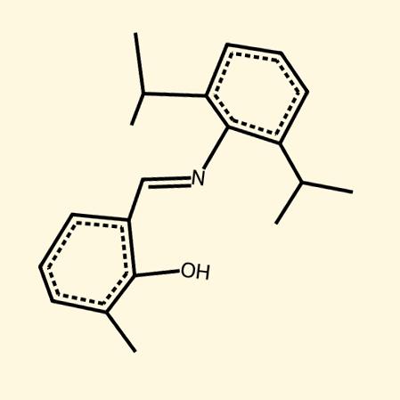 Cc1cccc(C=Nc2c(C(C)C)cccc2C(C)C)c1O